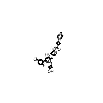 C=C(OC[C@H]1C[C@@H](O)C1)/C(=C\C(=N/C)c1cc(Cl)ccc1F)Nc1ccnc(NC(=O)[C@H]2C[C@@H](N3CCN(C)CC3)C2)c1